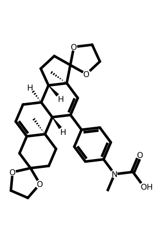 CN(C(=O)O)c1ccc(C2=C[C@@]3(C)[C@@H](CCC34OCCO4)[C@@H]3CC=C4CC5(CC[C@]4(C)[C@@H]23)OCCO5)cc1